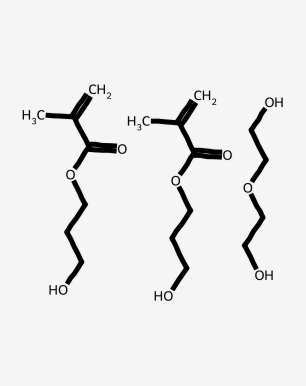 C=C(C)C(=O)OCCCO.C=C(C)C(=O)OCCCO.OCCOCCO